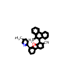 Bc1c(-c2c(C#N)ccc3c2oc2c(-c4ccc(C)cn4)cccc23)c2ccccc2c2ccccc12